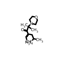 C/C=C(\CC(C)C)C(=O)C(C)(C)N1CCOCC1